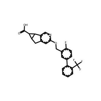 O=C(O)C1C2Cc3cc(OCc4cc(-c5ccccc5C(F)(F)F)ccc4F)ncc3C21